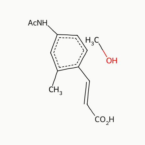 CC(=O)Nc1ccc(C=CC(=O)O)c(C)c1.CO